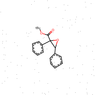 CC(C)(C)OC(=O)C1(c2ccccc2)OC1c1ccccc1